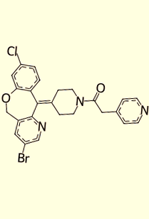 O=C(Cc1ccncc1)N1CCC(=C2c3ccc(Cl)cc3OCc3cc(Br)cnc32)CC1